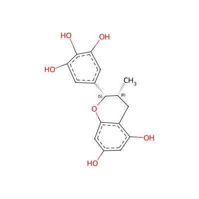 C[C@@H]1Cc2c(O)cc(O)cc2O[C@@H]1c1cc(O)c(O)c(O)c1